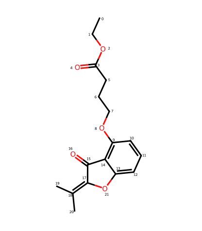 CCOC(=O)CCCOc1cccc2c1C(=O)C(=C(C)C)O2